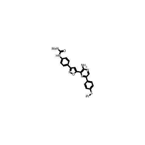 CNC(=O)Nc1ccc(-c2cc(-c3nc(-c4ccc(SC(C)C)cc4)cnc3N)on2)cc1